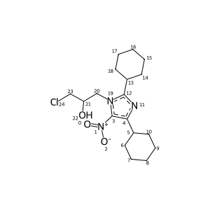 O=[N+]([O-])c1c(C2CCCCC2)nc(C2CCCCC2)n1CC(O)CCl